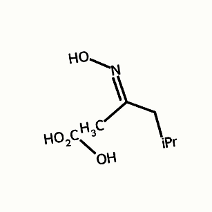 C/C(CC(C)C)=N\O.O=C(O)O